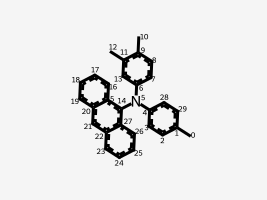 Cc1ccc(N(c2ccc(C)c(C)c2)c2c3ccccc3cc3ccccc23)cc1